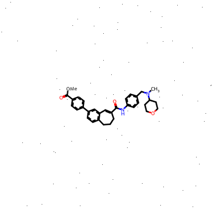 COC(=O)c1ccc(-c2ccc3c(c2)C=C(C(=O)Nc2ccc(CN(C)C4CCOCC4)cc2)CCC3)cc1